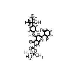 CC(C)(C)OC(=O)N1Cc2nc(-c3c(F)cccc3F)cc(Nc3ccc(C(O)(C(F)(F)F)C(F)(F)F)cc3)c2C1=O